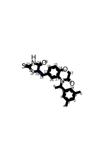 Cc1cc(C)cc(C(C)N2C(=O)COc3ccc(/C=C4/SC(=S)NC4=O)cc32)c1